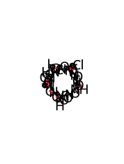 CCO[C@@H]1C[C@H]2C(=O)N(C)[C@@H](Cc3ccccc3)C(=O)N(C)[C@@H](CC(C)C)C(=O)N[C@H](C(=O)N3CCCC3)CC(=O)N(C)[C@@H](C)C(=O)N[C@@H]([C@@H](C)CC)C(=O)N(C)CC(=O)N(C)CC(=O)N(C)[C@@H](Cc3ccc(Cl)cc3)C(=O)N(C)CC(=O)N[C@@H](Cc3cccc(I)c3)C(=O)N2C1